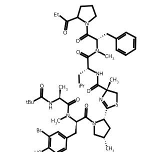 CCC(=O)C1CCCN1C(=O)[C@H](Cc1ccccc1)N(C)C(=O)[C@@H](CC(C)C)NC(=O)[C@]1(C)CSC([C@@H]2C[C@H](C)CN2C(=O)[C@@H](Cc2ccc(O)c(Br)c2)N(C)C(=O)[C@H](C)NC(=O)C(C)(C)C)=N1